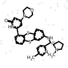 Cc1ccc(C(Nc2ccc3c(c2)Sc2cccc(-c4cc(N5CCOCC5)cc(=O)[nH]4)c2S3)[C@@H]2CCCN2C)nc1